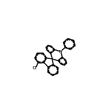 Clc1cccc2c1-c1ccccc1C21c2ccccc2N(c2ccccc2)c2ccccc21